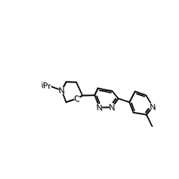 Cc1cc(-c2ccc(C3CCN(C(C)C)CC3)nn2)ccn1